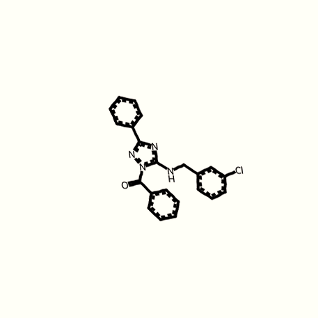 O=C(c1ccccc1)n1nc(-c2ccccc2)nc1NCc1cccc(Cl)c1